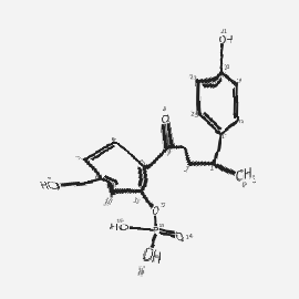 CC(CC(=O)c1ccc(O)cc1OP(=O)(O)O)c1ccc(O)cc1